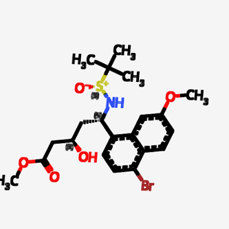 COC(=O)C[C@H](O)C[C@H](N[S@+]([O-])C(C)(C)C)c1ccc(Br)c2ccc(OC)cc12